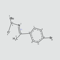 C/C(=N\[S+]([O-])C(C)(C)C)c1ccc(Br)cc1